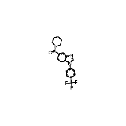 O=C(c1ccc2c(c1)ncn2-c1ccc(C(F)(F)F)cc1)N1CCCCC1